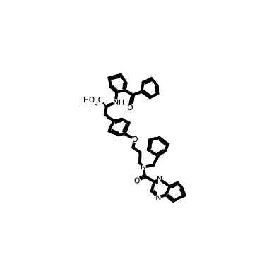 O=C(c1ccccc1)c1ccccc1N[C@@H](Cc1ccc(OCCCN(Cc2ccccc2)C(=O)c2cnc3ccccc3n2)cc1)C(=O)O